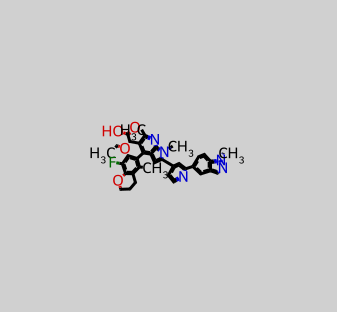 CCO[C@H](C(=O)O)c1c(C)nc2c(cc(-c3ccnc(-c4ccc5c(cnn5C)c4)c3)n2C)c1-c1cc(F)c2c(c1C)CCCO2